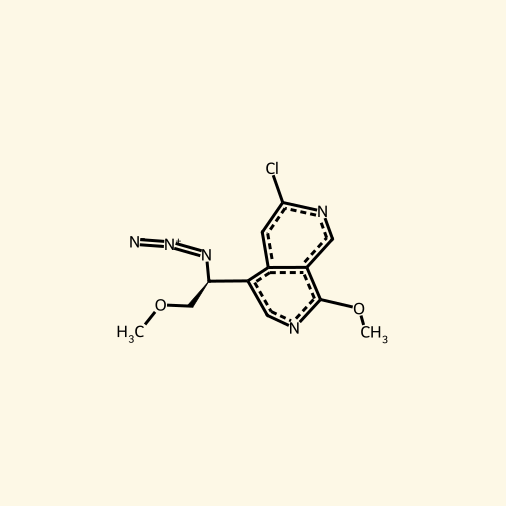 COC[C@@H](N=[N+]=[N-])c1cnc(OC)c2cnc(Cl)cc12